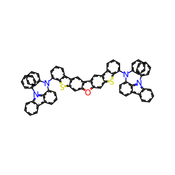 c1ccc(N(c2cccc3c2sc2cc4oc5cc6sc7c(N(c8ccccc8)c8cccc9c%10ccccc%10n(-c%10ccccc%10)c89)cccc7c6cc5c4cc23)c2cccc3c4ccccc4n(-c4ccccc4)c23)cc1